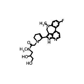 CN(CC(O)CO)C(=O)CN1CCC=C(c2[nH]c3nccc4c3c2CN(C)c2ccc(F)cc2-4)C1